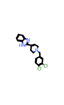 Clc1ccc(CN2CC=C(c3nc4ccccc4[nH]3)CC2)cc1Cl